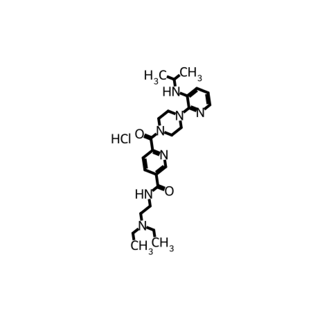 CCN(CC)CCNC(=O)c1ccc(C(=O)N2CCN(c3ncccc3NC(C)C)CC2)nc1.Cl